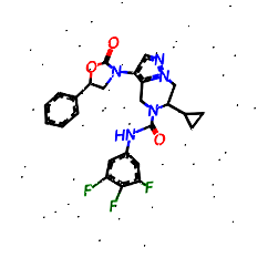 O=C1OC(c2ccccc2)CN1c1cnn2c1CN(C(=O)Nc1cc(F)c(F)c(F)c1)C(C1CC1)C2